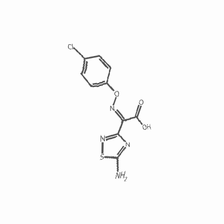 Nc1nc(C(=NOc2ccc(Cl)cc2)C(=O)O)ns1